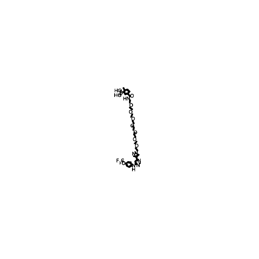 Cc1ccc(C(=O)NCCOCCOCCOCCOCCOCCOCCOCCn2cc(-c3cc(Nc4ccc(OC(F)(F)F)cc4)ncn3)cn2)cc1B(O)O